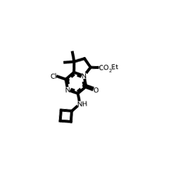 CCOC(=O)C1CC(C)(C)c2c(Cl)nc(NC3CCC3)c(=O)n21